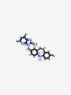 CCc1nc2c(C)cc(C)nc2n1Cc1ccc2c(c1)CCc1cc(C)ccc1N2